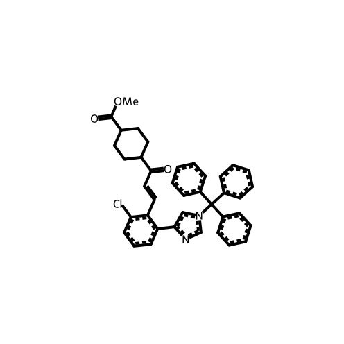 COC(=O)C1CCC(C(=O)/C=C/c2c(Cl)cccc2-c2cn(C(c3ccccc3)(c3ccccc3)c3ccccc3)cn2)CC1